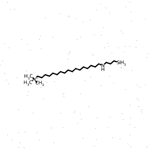 C[N+](C)(C)CCCCCCCCCCCCCCCCCNCCC[SiH3]